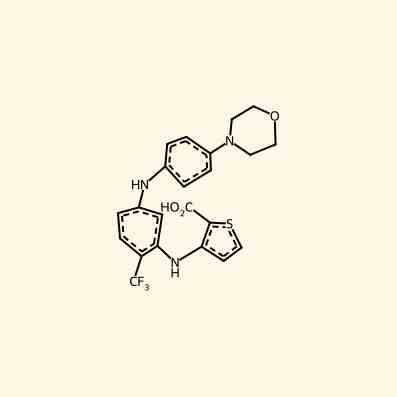 O=C(O)c1sccc1Nc1cc(Nc2ccc(N3CCOCC3)cc2)ccc1C(F)(F)F